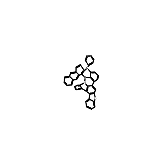 c1ccc(N2c3cccc4c3B(c3c2ccc2cc5ccccc5cc32)n2c3ccccc3c3c5c(cc-4c32)oc2ccccc25)cc1